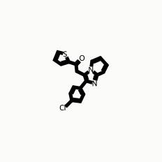 O=C(Cc1c(-c2ccc(Cl)cc2)nc2ccccn12)c1cccs1